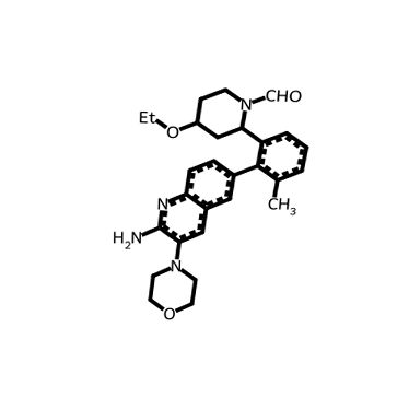 CCOC1CCN(C=O)C(c2cccc(C)c2-c2ccc3nc(N)c(N4CCOCC4)cc3c2)C1